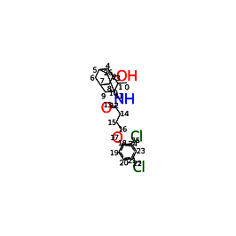 CC1C2(O)CC3CC(C2)CC1(NC(=O)CCCOc1ccc(Cl)cc1Cl)C3